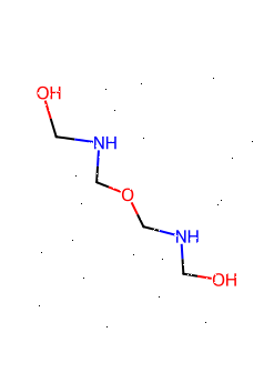 OCNCOCNCO